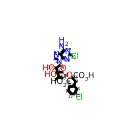 C=C(C)[C@@]1(O)[C@@H](COC(Cc2cccc(Cl)c2)(C(=O)O)C(=O)O)O[C@@H](n2cnc3c(N)nc(Cl)nc32)[C@@H]1O